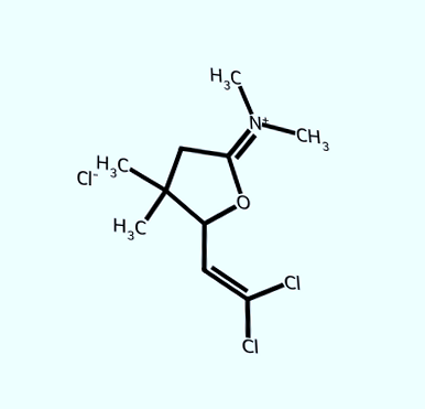 C[N+](C)=C1CC(C)(C)C(C=C(Cl)Cl)O1.[Cl-]